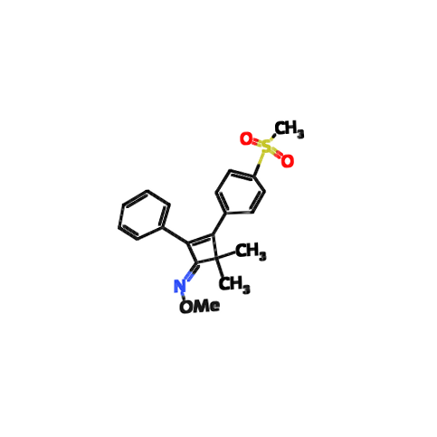 CON=C1C(c2ccccc2)=C(c2ccc(S(C)(=O)=O)cc2)C1(C)C